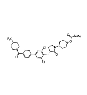 CNC(=O)ON1CCC(N2CC[C@@H](Cc3c(Cl)cc(-c4ccc(C(=O)N5CCC(C(F)(F)F)CC5)cc4)cc3Cl)C2=O)CC1